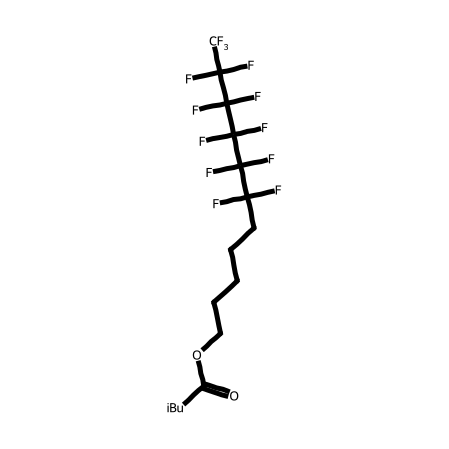 CCC(C)C(=O)OCCCCCC(F)(F)C(F)(F)C(F)(F)C(F)(F)C(F)(F)C(F)(F)F